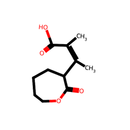 CC(C(=O)O)=C(C)C1CCCCOC1=O